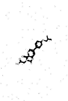 CC(C)COc1ccc(-c2cnc3c(=O)n(CC(=O)O)c(=O)oc3c2)cc1